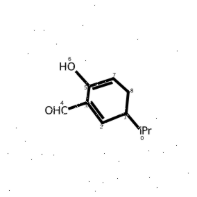 CC(C)C1C=C(C=O)C(O)=CC1